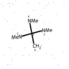 [CH2]C(NC)(NC)NC